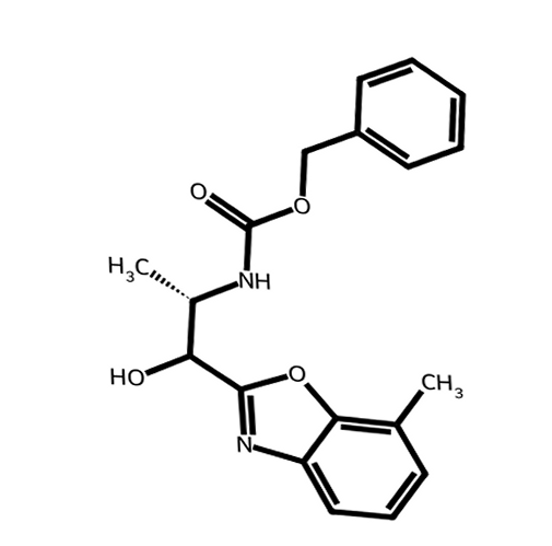 Cc1cccc2nc(C(O)[C@H](C)NC(=O)OCc3ccccc3)oc12